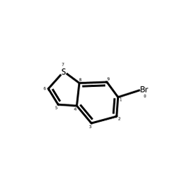 Brc1ccc2c[c]sc2c1